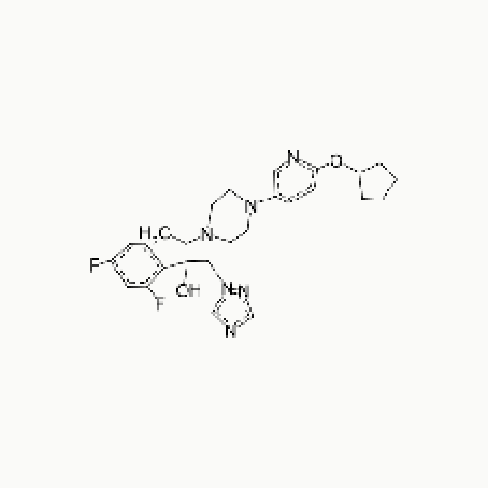 CC(N1CCN(c2ccc(OC3CCCC3)nc2)CC1)C(O)(Cn1cncn1)c1ccc(F)cc1F